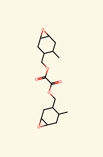 CC1CC2OC2CC1COC(=O)C(=O)OCC1CC2OC2CC1C